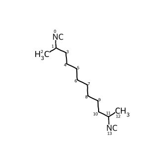 [C-]#[N+]C(C)CCCCCCCCC(C)[N+]#[C-]